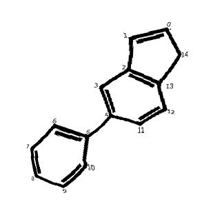 [C]1=Cc2cc(-c3ccccc3)ccc2C1